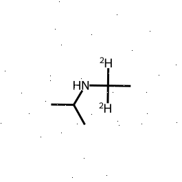 [2H]C([2H])(C)NC(C)C